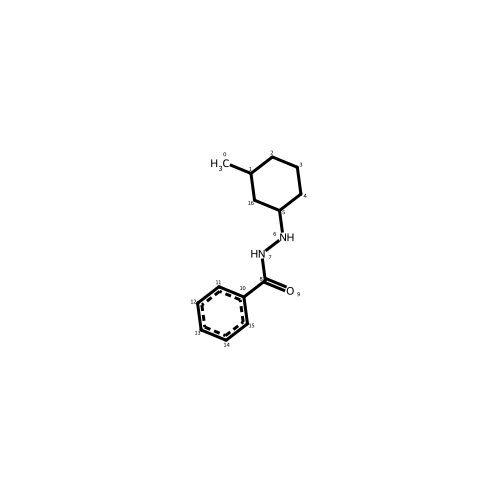 CC1CCCC(NNC(=O)c2ccccc2)C1